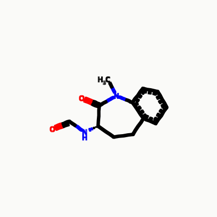 CN1C(=O)[C@@H](NC=O)CCc2ccccc21